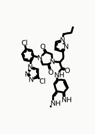 CCCn1ccc(CC(C(=O)NC2=C/C(=C/NC)C(=N)C=C2)N2CC(=O)N(c3cc(Cl)ccc3-n3cc(Cl)nn3)CC2=O)n1